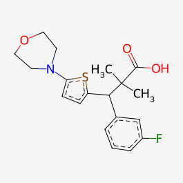 CC(C)(C(=O)O)C(c1cccc(F)c1)c1ccc(N2CCOCC2)s1